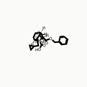 O=C(OCc1ccccc1)[C@@H]1[C@@H]2CC[C@@H]([C@H](CC3CC3)[C@H]2F)N1C(=O)O